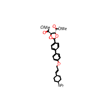 CCCC1CCC(C=CCOc2ccc(-c3ccc(C4O[C@@H](C(=O)OC)[C@H](C(=O)OC)O4)cc3)cc2)CC1